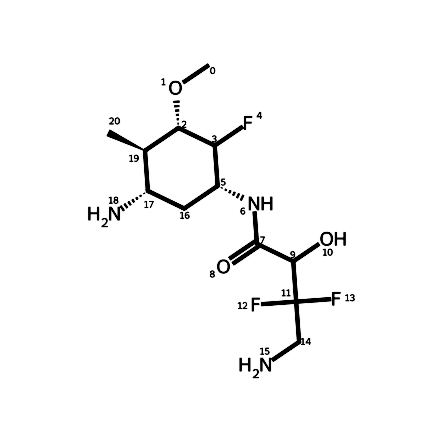 CO[C@@H]1C(F)[C@H](NC(=O)C(O)C(F)(F)CN)C[C@H](N)[C@H]1C